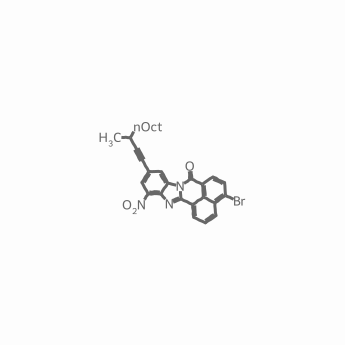 CCCCCCCCC(C)C#Cc1cc([N+](=O)[O-])c2nc3c4cccc5c(Br)ccc(c(=O)n3c2c1)c54